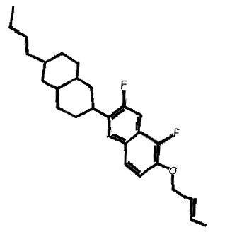 C/C=C/COc1ccc2cc(C3CCC4CC(CCCC)CCC4C3)c(F)cc2c1F